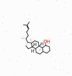 CC(C)=CCC[C@@H](C)[C@H]1CC[C@H]2[C@@H]3CCC4CCCC(O)[C@]4(C)[C@H]3CC[C@]12C